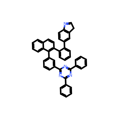 C1=Nc2ccc(-c3ccccc3-c3ccc4ccccc4c3-c3cccc(-c4nc(-c5ccccc5)nc(-c5ccccc5)n4)c3)cc2C1